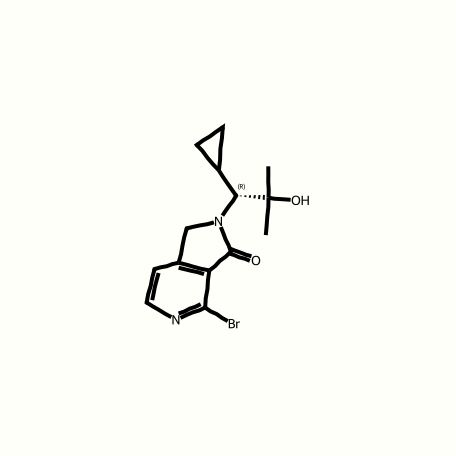 CC(C)(O)[C@@H](C1CC1)N1Cc2ccnc(Br)c2C1=O